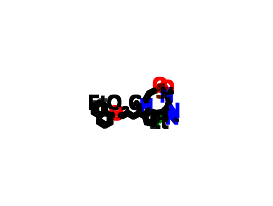 CCOC(=O)c1c(CCCOc2cccc3ccccc23)c2ccc(F)c3c2n1CCCS(=O)(=O)N(C)Cc1nn(C)c(CC)c1-3